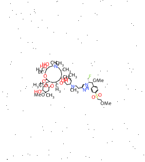 CC[C@H]1OC(=O)[C@H](C)[C@@H](O[C@H]2C[C@@](C)(OC)[C@@H](O)[C@H](C)O2)[C@H](C)[C@@H](O[C@H]2C[C@@H](N(C)CCc3cn([C@H](CF)[C@H](OC)c4ccc(S(=O)(=O)CCOC)cc4)nn3)C[C@@H](C)O2)[C@](C)(O)C[C@@H](C)CN(C)[C@H](C)[C@@H](O)[C@]1(C)O